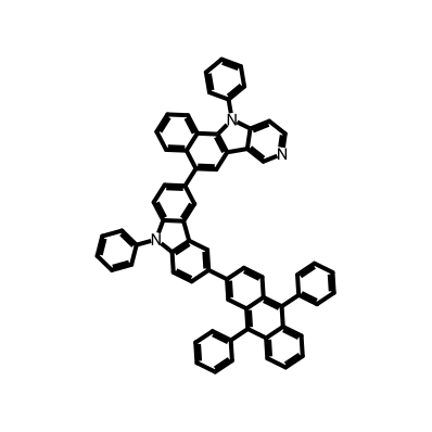 c1ccc(-c2c3ccccc3c(-c3ccccc3)c3cc(-c4ccc5c(c4)c4cc(-c6cc7c8cnccc8n(-c8ccccc8)c7c7ccccc67)ccc4n5-c4ccccc4)ccc23)cc1